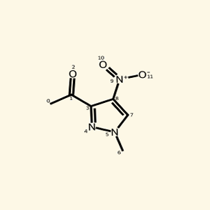 CC(=O)c1nn(C)cc1[N+](=O)[O-]